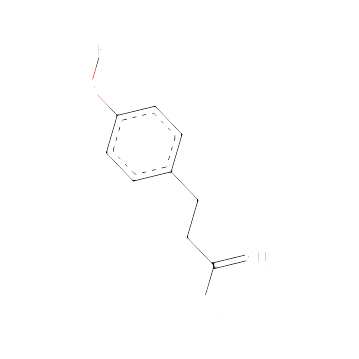 C=C(CCc1ccc(OCC)cc1)C(=O)O